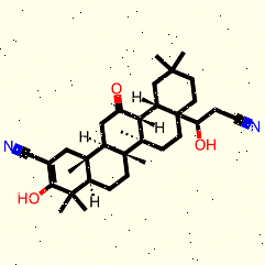 CC1(C)CCC2(C(O)CC#N)CC[C@]3(C)[C@H](C(=O)C[C@@H]4[C@@]5(C)CC(C#N)=C(O)C(C)(C)[C@@H]5CC[C@]43C)[C@@H]2C1